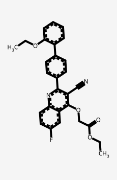 CCOC(=O)COc1c(C#N)c(-c2ccc(-c3ccccc3OCC)cc2)nc2ccc(F)cc12